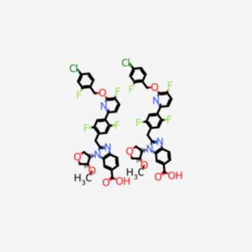 CO[C@H]1COC[C@H]1n1c(Cc2cc(F)c(-c3ccc(F)c(OCc4ccc(Cl)cc4F)n3)cc2F)nc2ccc(C(=O)O)cc21.CO[C@H]1COC[C@H]1n1c(Cc2cc(F)c(-c3ccc(F)c(OCc4ccc(Cl)cc4F)n3)cc2F)nc2ccc(C(=O)O)cc21